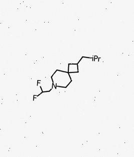 CC(C)CC1CC2(CCN(CC(F)F)CC2)C1